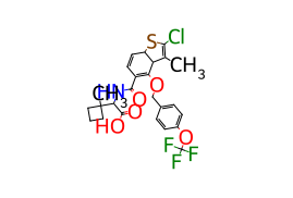 CC1=C(Cl)SC2C=CC(C(=O)NC(C(=O)O)C3(C)CCC3)=C(OCc3ccc(OC(F)(F)F)cc3)C12